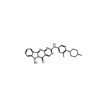 Cc1cc(Nc2ncc3c(=O)n4c(nc3n2)c2ccccc2n4C(C)C)ccc1N1CCN(C)CC1